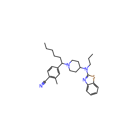 CCCCCC(c1ccc(C#N)c(C)c1)N1CCC(N(CCC)c2nc3ccccc3s2)CC1